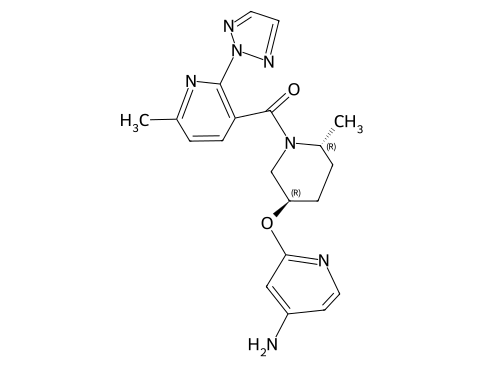 Cc1ccc(C(=O)N2C[C@H](Oc3cc(N)ccn3)CC[C@H]2C)c(-n2nccn2)n1